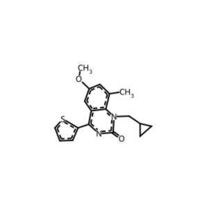 COc1cc(C)c2c(c1)c(-c1cccs1)nc(=O)n2CC1CC1